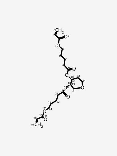 C=CC(=O)OCCCCC(=O)O[C@H]1CCOC[C@H]1OC(=O)CCCCOC(=O)C=C